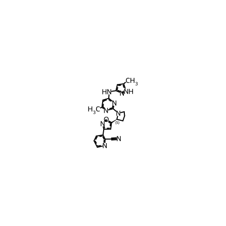 Cc1cc(Nc2cc(C)[nH]n2)nc(N2CCC[C@H]2c2cc(-c3cccnc3C#N)no2)n1